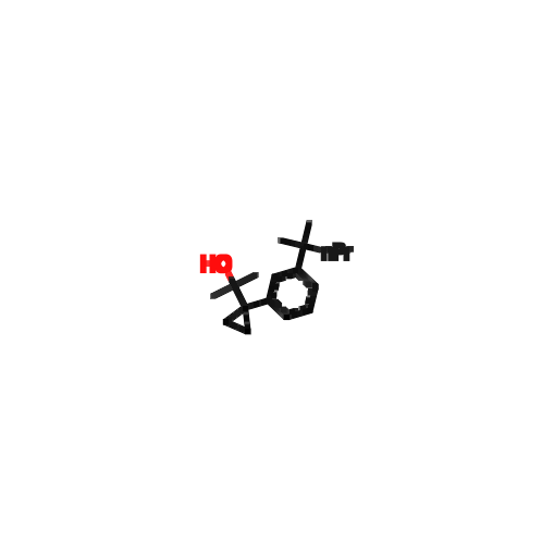 CCCC(C)(C)c1cccc(C2(C(C)(C)O)CC2)c1